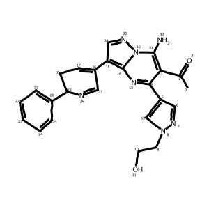 CC(=O)c1c(-c2cnn(CCO)c2)nc2c(C3=CCC(c4ccccc4)N=C3)cnn2c1N